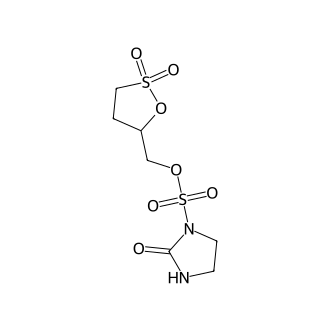 O=C1NCCN1S(=O)(=O)OCC1CCS(=O)(=O)O1